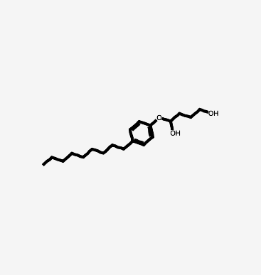 CCCCCCCCCc1ccc(OC(O)CCCO)cc1